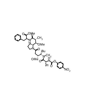 CC[C@H](C)[C@@H]([C@@H](CC(=O)N1CCC[C@H]1[C@H](OC)[C@@H](C)C(=O)NC(Cc1ccccc1)C(=O)OC)OC)N(C)C(=O)[C@@H](NC(=O)Oc1ccc([N+](=O)[O-])cc1)C(C)C